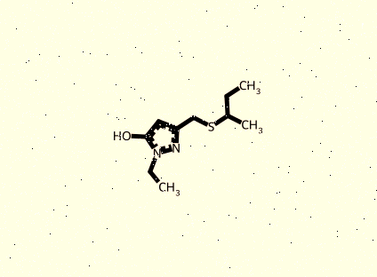 CCC(C)SCc1cc(O)n(CC)n1